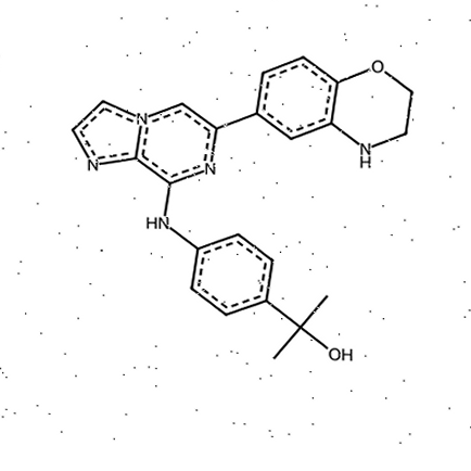 CC(C)(O)c1ccc(Nc2nc(-c3ccc4c(c3)NCCO4)cn3ccnc23)cc1